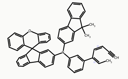 C#C/C=C\C(=C/C)c1cccc(N(c2ccc3c(c2)C(C)(C)c2ccccc2-3)c2ccc3c(c2)C2(c4ccccc4Oc4ccccc42)c2ccccc2-3)c1